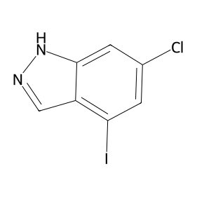 Clc1cc(I)c2cn[nH]c2c1